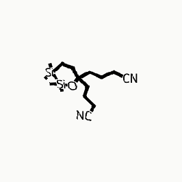 C[Si]1(C)CCC(CCCC#N)(CCCC#N)O[Si]1(C)C